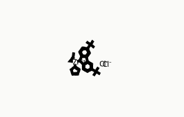 C[CH]1[CH2][Zr+2]1([C]1=CC=CC1)[CH]1c2ccc(C(C)(C)C)cc2-c2cc(C(C)(C)C)ccc21.[Cl-].[Cl-]